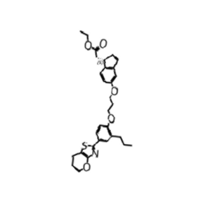 CCCc1cc(-c2nc3c(s2)CCCO3)ccc1OCCCOc1ccc2c(c1)CC[C@H]2CC(=O)OCC